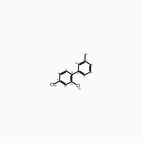 Cc1cccc(-c2ccc(Cl)cc2Cl)c1